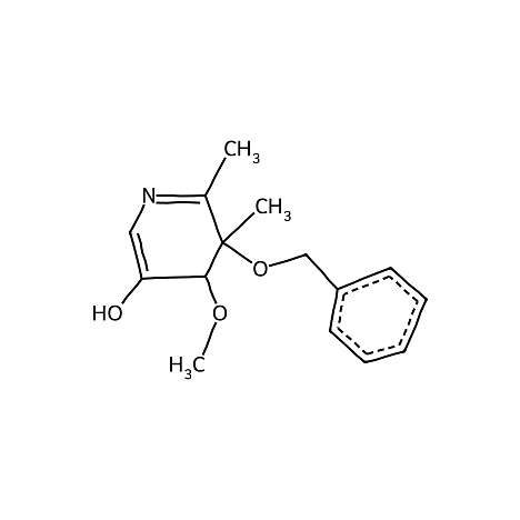 COC1C(O)=CN=C(C)C1(C)OCc1ccccc1